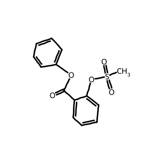 CS(=O)(=O)Oc1ccccc1C(=O)Oc1ccccc1